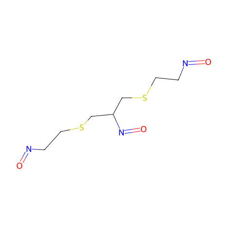 O=NCCSCC(CSCCN=O)N=O